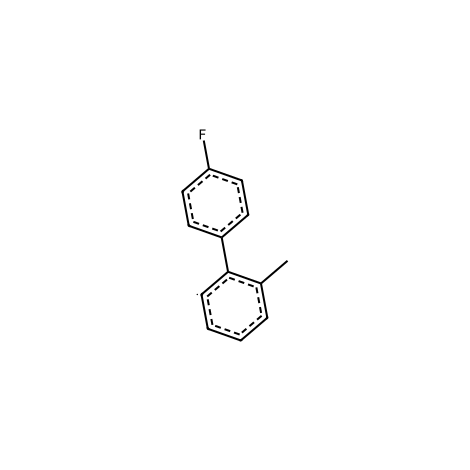 Cc1ccc[c]c1-c1ccc(F)cc1